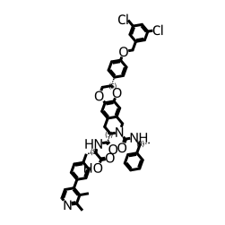 Cc1nccc(-c2ccc(C[C@H](NC(=O)[C@@H]3Cc4cc5c(cc4CN3C(=O)N[C@H](C)c3ccccc3)O[C@@H](c3ccc(OCc4cc(Cl)cc(Cl)c4)cc3)CO5)C(=O)O)cc2)c1C